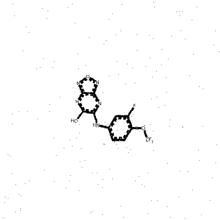 Oc1nc2nonc2nc1Nc1ccc(OC(F)(F)F)c(F)c1